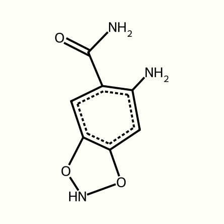 NC(=O)c1cc2c(cc1N)ONO2